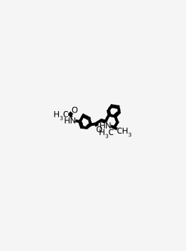 CC(=O)Nc1ccc(C(=O)C=C2NC(C)(C)Cc3ccccc32)cc1